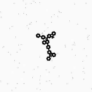 CC1(C)c2ccccc2-c2ccc(N(c3ccc(-c4ccccc4)cc3)c3ccc(-c4ccc(-c5ccc6c(c5)c5ccccc5n6-c5ccccc5)cc4)c4ccccc34)cc21